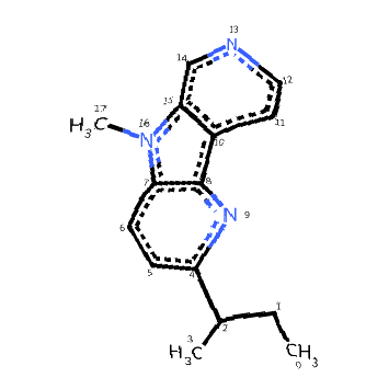 CCC(C)c1ccc2c(n1)c1ccncc1n2C